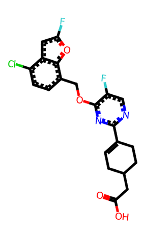 O=C(O)CC1CC=C(c2ncc(F)c(OCc3ccc(Cl)c4cc(F)oc34)n2)CC1